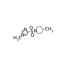 CC1CCN(S(=O)(=O)c2cn(C)cn2)CC1